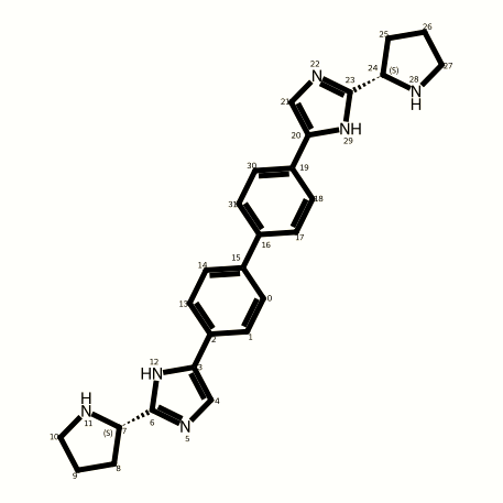 c1cc(-c2cnc([C@@H]3CCCN3)[nH]2)ccc1-c1ccc(-c2cnc([C@@H]3CCCN3)[nH]2)cc1